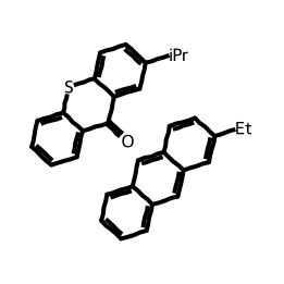 CC(C)c1ccc2sc3ccccc3c(=O)c2c1.CCc1ccc2cc3ccccc3cc2c1